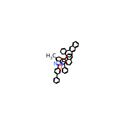 C\C1=C(c2cc(C3CCc4cc5ccccc5cc4C4=C3CCC=C4)cc3c2oc2ccccc23)/N=C(c2ccc(-c3ccccc3)cc2)\N=C(\c2cccc3ccccc23)CC1